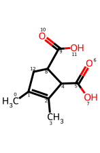 CC1=C(C)C(C(=O)O)C(C(=O)O)C1